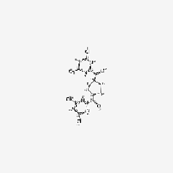 O=C(c1nc(Cl)nc(Cl)n1)C1CCC(C(=O)c2nc(Cl)nc(Cl)n2)CC1